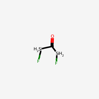 O=C([SiH2]F)[SiH2]F